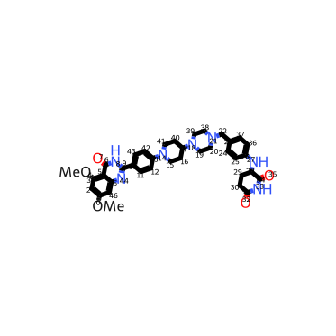 COc1cc(OC)c2c(=O)[nH]c(-c3ccc(N4CCC(N5CCN(Cc6ccc(NC7CCC(=O)NC7=O)cc6)CC5)CC4)cc3)nc2c1